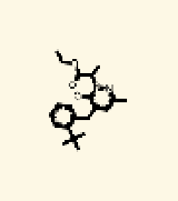 CCOC(=O)C(C)n1nc(C)cc(Cc2ccccc2C(C)(C)C)c1=O